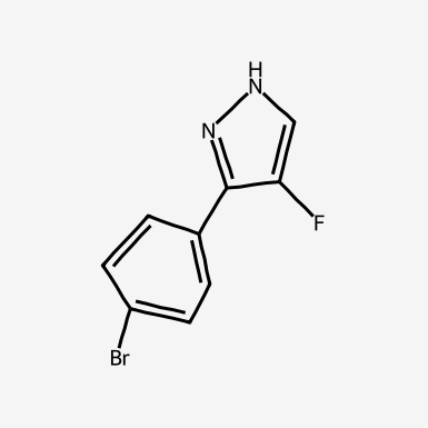 Fc1c[nH]nc1-c1ccc(Br)cc1